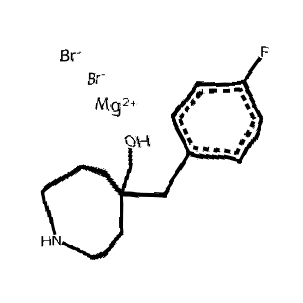 OC1(Cc2ccc(F)cc2)CCNCC1.[Br-].[Br-].[Mg+2]